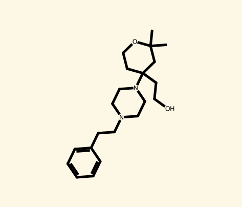 CC1(C)CC(CCO)(N2CCN(CCc3ccccc3)CC2)CCO1